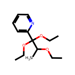 CCOC([SiH3])C(OCC)(OCC)c1ccccn1